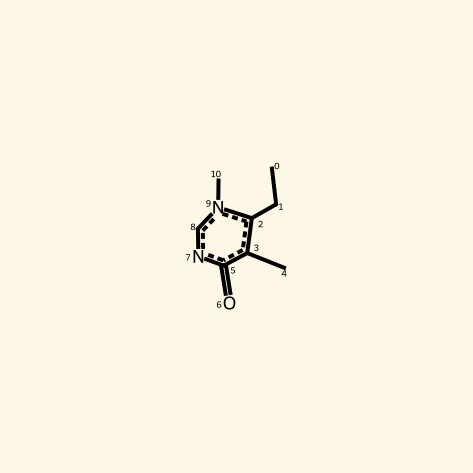 CCc1c(C)c(=O)ncn1C